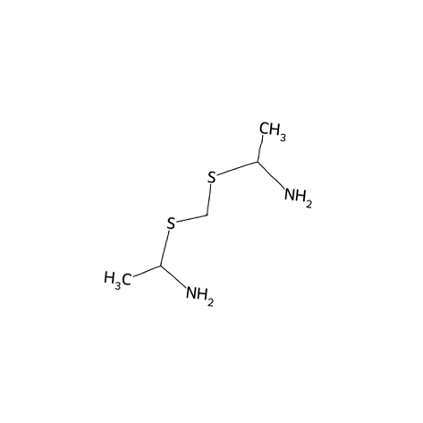 CC(N)SCSC(C)N